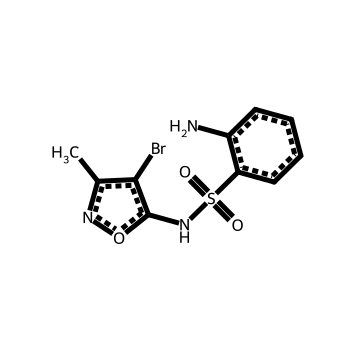 Cc1noc(NS(=O)(=O)c2ccccc2N)c1Br